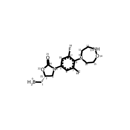 BC[C@H]1CN(c2cc(F)c(N3CCNOCC3)c(F)c2)C(=O)O1